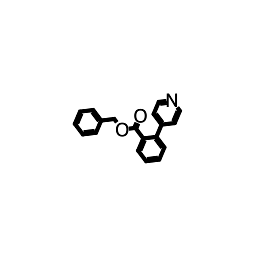 O=C(OCc1ccccc1)c1ccccc1-c1ccncc1